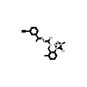 C#Cc1cccc(/C(C)=N/N=C(\CC)OCc2c(C)cccc2-n2nnn(C)c2=O)c1